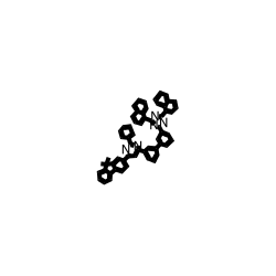 CC1(C)c2ccccc2-c2ccc(-c3cc(-c4cccc(-c5cccc(-c6nc(-c7cccc8ccccc78)nc(-c7cccc8ccccc78)n6)c5)c4)nc(-c4ccccc4)n3)cc21